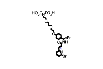 CCCC(NC(=O)/C=C/c1cccc(Br)n1)c1ccc(OCCOCCOCCN(C(=O)O)C(=O)O)cc1